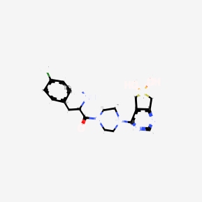 O=C(O)NC(Cc1ccc(Cl)cc1)C(=O)N1CCN(c2ncnc3c2CS(O)(O)C3)CC1